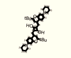 CC(C)(C)C1=C/C(=C\C2=C(O)C(/C=C3\C=C(C(C)(C)C)Oc4cc(N5CCCCC5)ccc43)C2O)c2ccc(N3CCCCC3)cc2O1